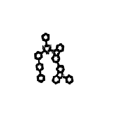 C1=CC2c3cc(-c4ccc5c(c4)c4ccccc4n5-c4nc(-c5ccccc5)nc(-c5cccc(-c6ccc(-c7ccccc7)cc6)c5)n4)ccc3N(c3ccccc3)C2C=C1